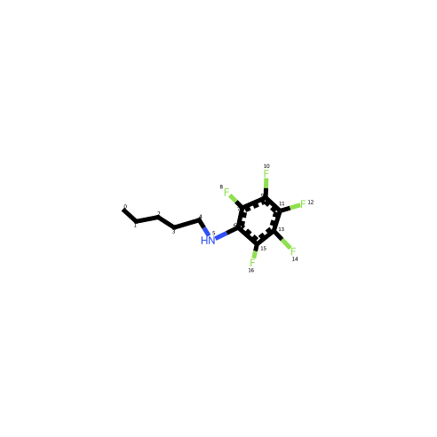 CCCCCNc1c(F)c(F)c(F)c(F)c1F